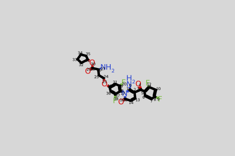 Nc1c(C(=O)c2ccc(F)cc2F)ccc(=O)n1-c1c(F)cc(OCC[C@H](N)C(=O)OC2CCCC2)cc1F